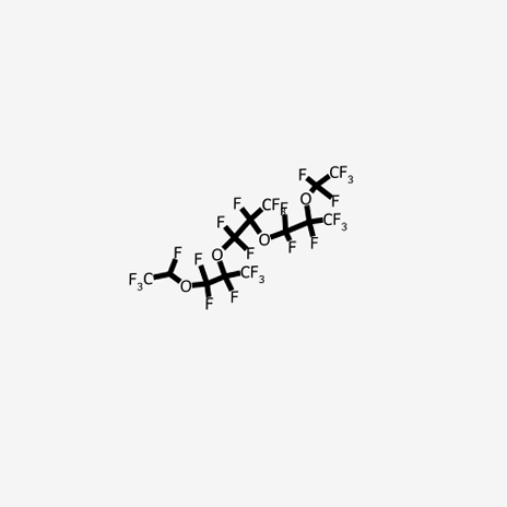 FC(OC(F)(F)C(F)(OC(F)(F)C(F)(OC(F)(F)C(F)(OC(F)(F)C(F)(F)F)C(F)(F)F)C(F)(F)F)C(F)(F)F)C(F)(F)F